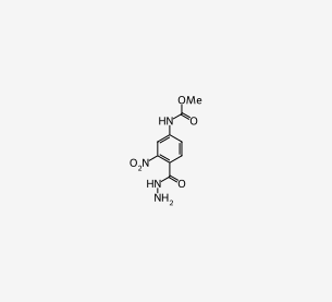 COC(=O)Nc1ccc(C(=O)NN)c([N+](=O)[O-])c1